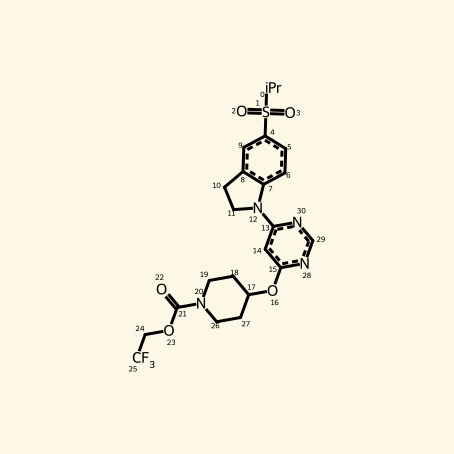 CC(C)S(=O)(=O)c1ccc2c(c1)CCN2c1cc(OC2CCN(C(=O)OCC(F)(F)F)CC2)ncn1